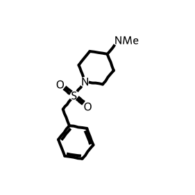 CNC1CCN(S(=O)(=O)Cc2ccccc2)CC1